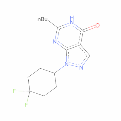 CCCCc1nc2c(cnn2C2CCC(F)(F)CC2)c(=O)[nH]1